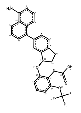 Nc1nccc2c(-c3ccc4c(c3)[C@H](Oc3cccc(OC(F)(F)F)c3CC(=O)O)CC4)cccc12